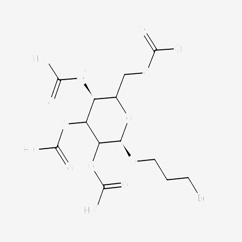 CC(=O)OCC1O[C@@H](OCCCBr)C(OC(C)=O)C(OC(C)=O)[C@H]1OC(C)=O